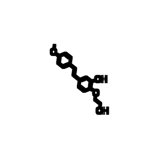 COc1ccc(/C=C/c2ccc(OCCO)c(O)c2)cc1